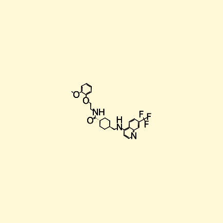 COc1ccccc1OCCNC(=O)[C@H]1CC[C@H](CNc2ccnc3cc(C(F)(F)F)ccc23)CC1